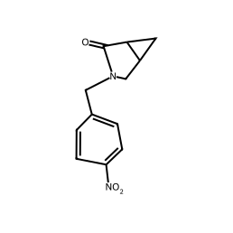 O=C1C2CC2CN1Cc1ccc([N+](=O)[O-])cc1